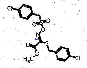 COC(=O)/C(=N/OS(=O)(=O)Cc1ccc(Cl)cc1)SCc1ccc(Cl)cc1